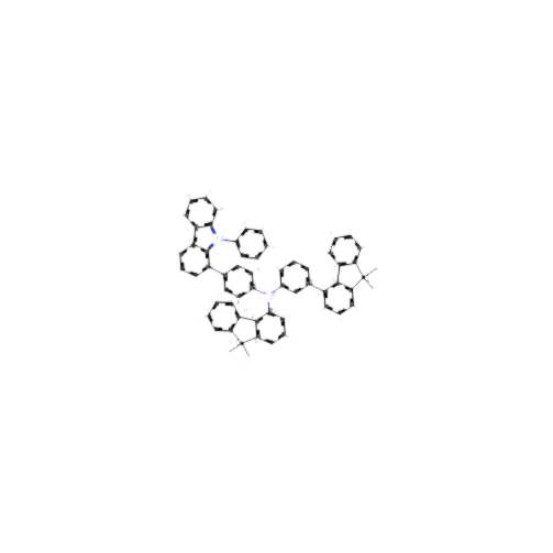 CC1(C)c2ccccc2-c2c(-c3cccc(N(c4ccc(-c5cccc6c7ccccc7n(-c7ccccc7)c56)cc4)c4cccc5c4-c4ccccc4C5(C)C)c3)cccc21